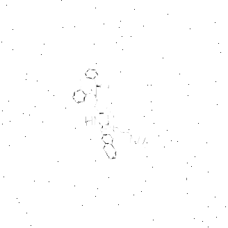 NCCCNC(=O)C(Cc1ccc2ccccc2c1)NC(=O)CCN1C(=O)c2ccccc2Sc2ccccc21